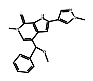 COC(c1ccccc1)c1cn(C)c(=O)c2[nH]c(-c3cnn(C)c3)cc12